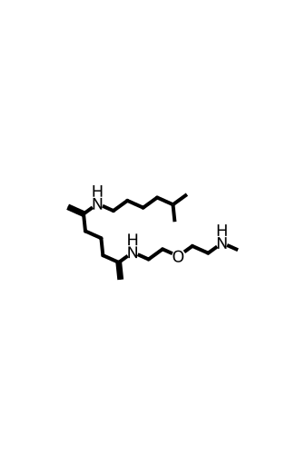 C=C(CCCC(=C)NCCOCCNC)NCCCCC(C)C